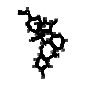 COc1ccc(S(=O)(=O)N2Cc3ccc(C)nc3Nc3cccc(-c4nnnn4C)c32)cc1